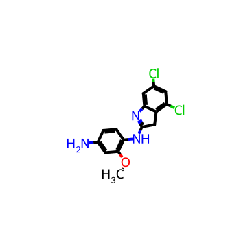 COc1cc(N)ccc1NC1=Nc2cc(Cl)cc(Cl)c2C1